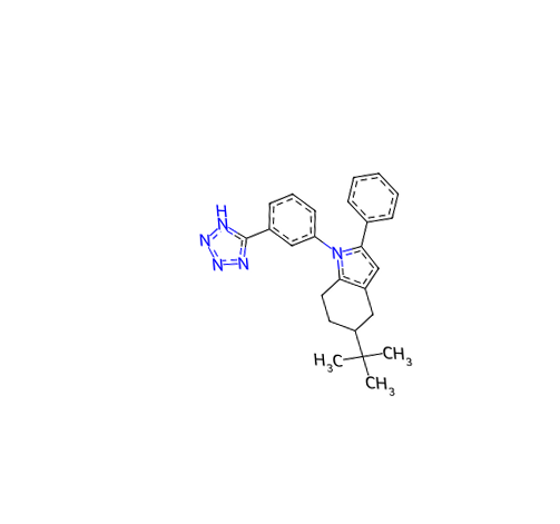 CC(C)(C)C1CCc2c(cc(-c3ccccc3)n2-c2cccc(-c3nnn[nH]3)c2)C1